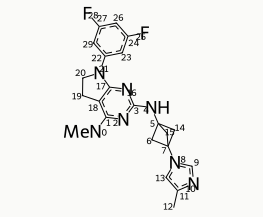 CNc1nc(NC23CC(n4cnc(C)c4)(C2)C3)nc2c1CCN2c1cc(F)cc(F)c1